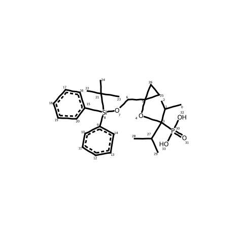 CC(C)C(OC1(CO[Si](c2ccccc2)(c2ccccc2)C(C)(C)C)CC1)(C(C)C)P(=O)(O)O